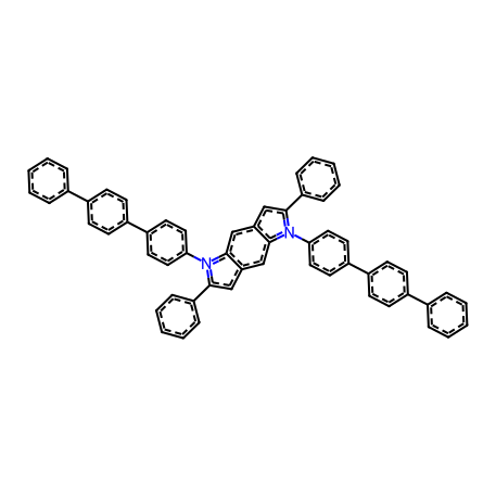 c1ccc(-c2ccc(-c3ccc(-n4c(-c5ccccc5)cc5cc6c(cc(-c7ccccc7)n6-c6ccc(-c7ccc(-c8ccccc8)cc7)cc6)cc54)cc3)cc2)cc1